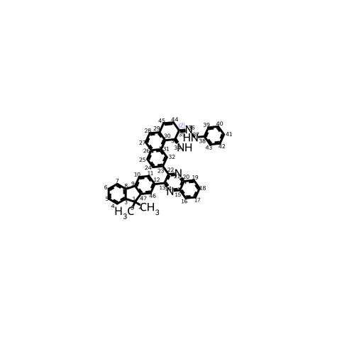 CC1(C)c2ccccc2-c2ccc(-c3nc4ccccc4nc3-c3ccc4ccc5c(c4c3)C(=N)/C(=N\Nc3ccccc3)C=C5)cc21